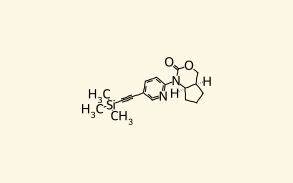 C[Si](C)(C)C#Cc1ccc(N2C(=O)OC[C@H]3CCC[C@H]32)nc1